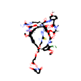 COc1ccc(C(=O)N(C)[C@@H](C)C(=O)O[C@H]2CC(=O)N(C)c3cc(cc(OC)c3Cl)C/C(C)=C/C=C/[C@@H](OC)[C@@]3(O)C[C@H](OC(=O)N3)[C@@H](C)[C@@H]3O[C@@]23C)c(NC(=O)[C@H](CCCNC(N)=O)NC(=O)[C@@H](NC(=S)NCCOCCOCCC(=O)ON2C(=O)CCC2=O)C(C)C)c1